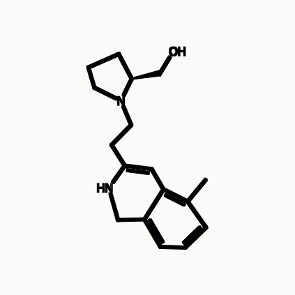 Cc1cccc2c1C=C(CCN1CCC[C@H]1CO)NC2